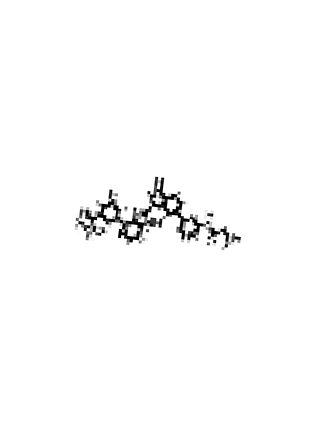 CN(C)CC(=O)Nc1cncc(-c2ccc3[nH]nc(-c4nc5c(-c6cc(F)cc(C(N)S(C)(=O)=O)c6)nccc5[nH]4)c3c2)c1